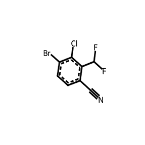 N#Cc1ccc(Br)c(Cl)c1C(F)F